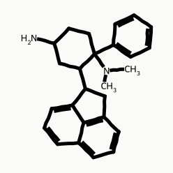 CN(C)C1(c2ccccc2)CCC(N)CC1C1Cc2cccc3cccc1c23